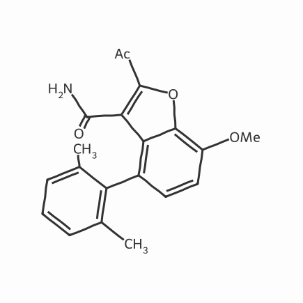 COc1ccc(-c2c(C)cccc2C)c2c(C(N)=O)c(C(C)=O)oc12